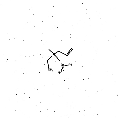 C=CCC(C)(C)CN.[2H]N[2H]